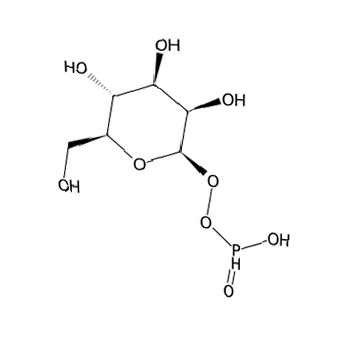 O=[PH](O)OO[C@H]1O[C@@H](CO)[C@H](O)[C@@H](O)[C@H]1O